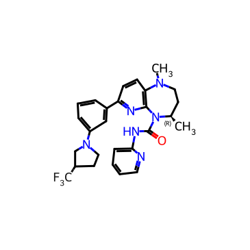 C[C@@H]1CCN(C)c2ccc(-c3cccc(N4CCC(C(F)(F)F)C4)c3)nc2N1C(=O)Nc1ccccn1